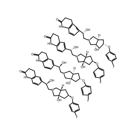 O=C1CCc2cc([C@@H](O)CN3C[C@@H]4C[C@@H](Oc5ccc(F)cc5)C[C@]4(O)C3)ccc2N1.O=C1CCc2cc([C@@H](O)CN3C[C@H]4C[C@H](Oc5ccc(F)cc5)C[C@@]4(O)C3)ccc2N1.O=C1CCc2cc([C@H](O)CN3C[C@@H]4C[C@@H](Oc5ccc(F)cc5)C[C@]4(O)C3)ccc2N1.O=C1CCc2cc([C@H](O)CN3C[C@H]4C[C@H](Oc5ccc(F)cc5)C[C@@]4(O)C3)ccc2N1